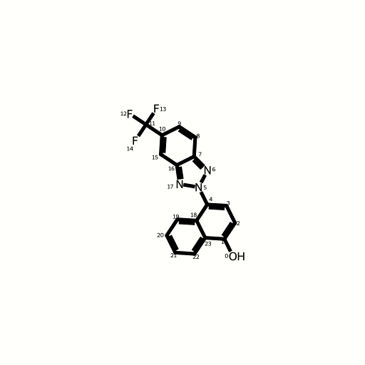 Oc1ccc(-n2nc3ccc(C(F)(F)F)cc3n2)c2ccccc12